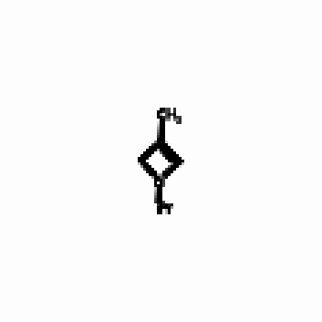 CC1=CN(C(C)C)C1